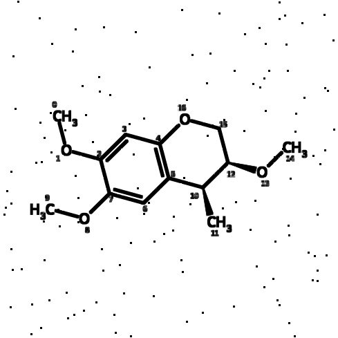 COc1cc2c(cc1OC)[C@H](C)[C@H](OC)CO2